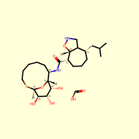 CC(C)C[C@@H]1CCC[C@H](C(=O)N[C@@H]2CCCCCS[C@H]3O[C@H]2[C@H](O)[C@H](O)[C@H]3O)[C@@H]2ONCC12.O=CO